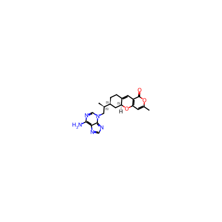 Cc1cc2c(c(=O)o1)C=C1CC[C@H]([C@H](C)Cn3cnc(N)c4ncnc3-4)C[C@@H]1O2